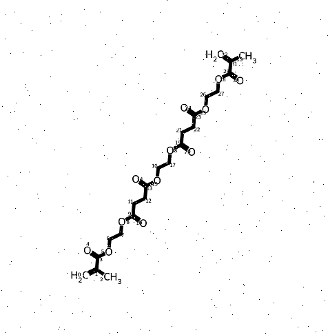 C=C(C)C(=O)OCCOC(=O)CCC(=O)OCCOC(=O)CCC(=O)OCCOC(=O)C(=C)C